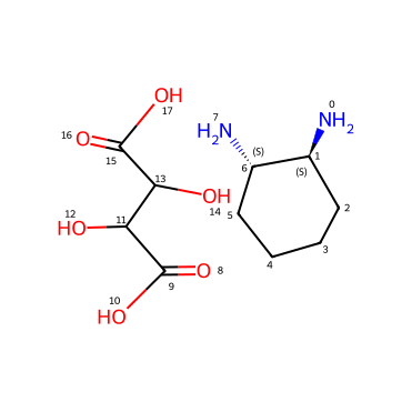 N[C@H]1CCCC[C@@H]1N.O=C(O)C(O)C(O)C(=O)O